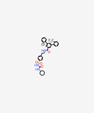 O=C(NC1CCCCC1)NS(=O)(=O)c1ccc(CCNC(=O)c2cc(-c3ccccc3C(F)(F)F)cc(-c3ccccc3C(F)(F)F)c2)cc1